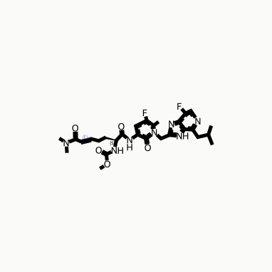 COC(=O)N[C@@H](CC/C=C/C(=O)N(C)C)C(=O)Nc1cc(F)c(C)n(Cc2nc3c(F)cnc(CC(C)C)c3[nH]2)c1=O